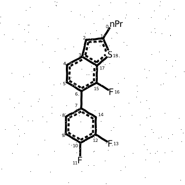 CCCc1cc2ccc(-c3ccc(F)c(F)c3)c(F)c2s1